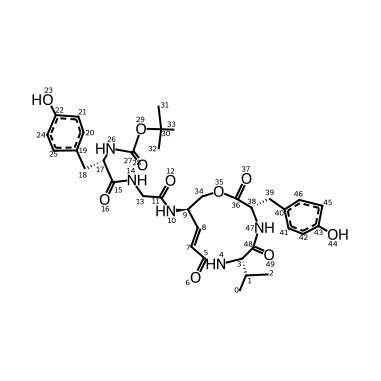 CC(C)[C@@H]1NC(=O)/C=C/[C@@H](NC(=O)CNC(=O)[C@H](Cc2ccc(O)cc2)NC(=O)OC(C)(C)C)COC(=O)[C@H](Cc2ccc(O)cc2)NC1=O